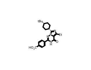 CCc1nc([C@H]2CC[C@@H](C(C)(C)C)CC2)n2nc(-c3ccc(C(=O)O)cc3)[nH]c(=O)c12